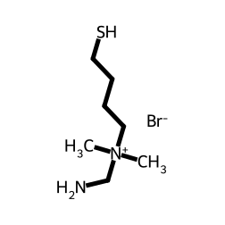 C[N+](C)(CN)CCCCS.[Br-]